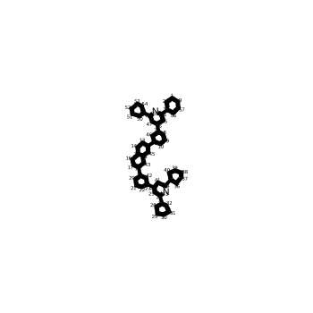 c1ccc(-c2cc(-c3cccc(-c4ccc5ccc(-c6cccc(-c7cc(-c8ccccc8)nc(-c8ccccc8)c7)c6)cc5c4)c3)cc(-c3ccccc3)n2)cc1